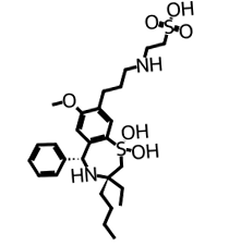 CCCC[C@]1(CC)CS(O)(O)c2cc(CCCNCCS(=O)(=O)O)c(OC)cc2[C@@H](c2ccccc2)N1